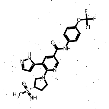 CS(=N)(=O)[C@H]1CCN(c2ncc(C(=O)Nc3ccc(OC(F)(F)Cl)cc3)cc2-c2ccn[nH]2)C1